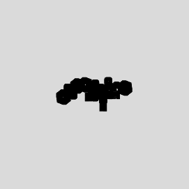 O=C(NCc1ccccc1)c1cc(S(=O)(=O)N2CCc3ccc(S(=O)(=O)N4CCCCC4)cc3C2)c(O)c(O)c1O